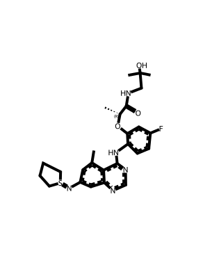 Cc1cc(N=S2CCCC2)cc2ncnc(Nc3ccc(F)cc3O[C@H](C)C(=O)NCC(C)(C)O)c12